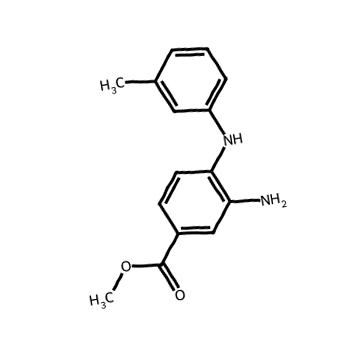 COC(=O)c1ccc(Nc2cccc(C)c2)c(N)c1